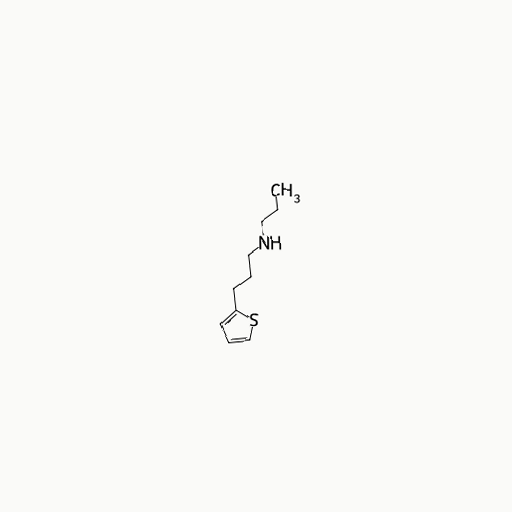 CCCNCCCc1cccs1